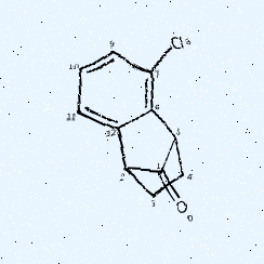 O=C1C2CCC1c1c(Cl)cccc12